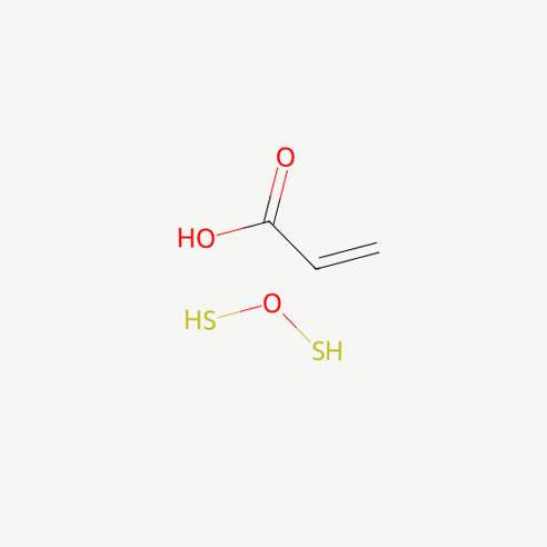 C=CC(=O)O.SOS